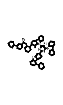 CCc1c(-n2c3ccccc3c3ccccc32)nc(-c2ccc3c(c2)oc2cccc(-c4ccccc4)c23)nc1-n1c2ccccc2c2ccc(-c3ccccc3CC(CC)c3cccc(-c4ccccc4)c3)c(C)c21